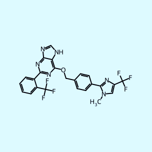 Cn1cc(C(F)(F)F)nc1-c1ccc(COc2nc(-c3ccccc3C(F)(F)F)nc3nc[nH]c23)cc1